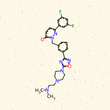 CN(C)CCN1CCN(c2nc(-c3cccc(Cn4nc(-c5cc(F)cc(F)c5)ccc4=O)c3)no2)CC1